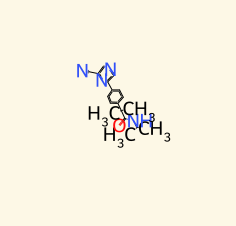 CC(C)NC(=O)C(C)(C)c1ccc(-c2cncc(C#N)n2)cc1